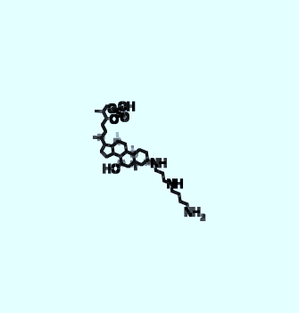 CC(C)C(CC[C@H](C)C1CCC2C1[C@H](C)CC1C2[C@H](O)C[C@@]2(C)C[C@@H](NCCCNCCCCN)CC[C@]12C)OS(=O)(=O)O